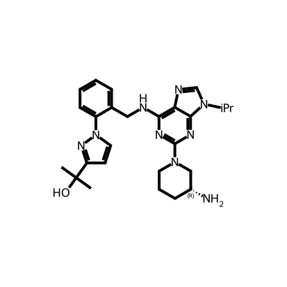 CC(C)n1cnc2c(NCc3ccccc3-n3ccc(C(C)(C)O)n3)nc(N3CCC[C@@H](N)C3)nc21